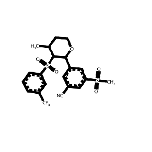 CC1CCOC(c2cc(C#N)cc(S(C)(=O)=O)c2)C1S(=O)(=O)c1cccc(C(F)(F)F)c1